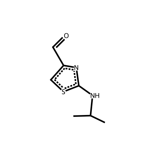 CC(C)Nc1nc(C=O)cs1